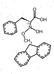 CON(O)[C@@H](Cc1ccccc1)C(=O)O.c1ccc2c(c1)Cc1ccccc1-2